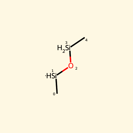 C[SiH]O[SiH2]C